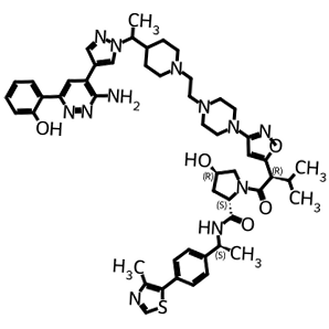 Cc1ncsc1-c1ccc([C@H](C)NC(=O)[C@@H]2C[C@@H](O)CN2C(=O)[C@@H](c2cc(N3CCN(CCN4CCC(C(C)n5cc(-c6cc(-c7ccccc7O)nnc6N)cn5)CC4)CC3)no2)C(C)C)cc1